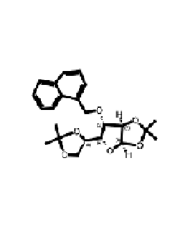 CC1(C)O[C@H]2O[C@H]([C@H]3COC(C)(C)O3)[C@H](OCc3cccc4ccccc34)[C@H]2O1